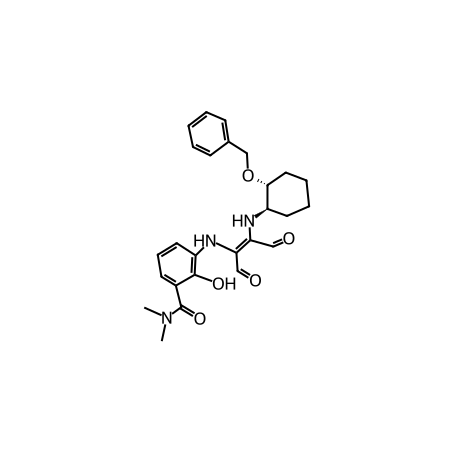 CN(C)C(=O)c1cccc(N/C(C=O)=C(/C=O)N[C@@H]2CCCC[C@H]2OCc2ccccc2)c1O